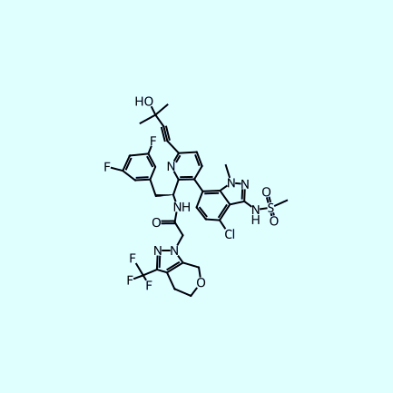 Cn1nc(NS(C)(=O)=O)c2c(Cl)ccc(-c3ccc(C#CC(C)(C)O)nc3[C@H](Cc3cc(F)cc(F)c3)NC(=O)Cn3nc(C(F)(F)F)c4c3COCC4)c21